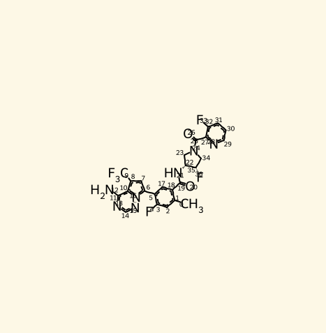 Cc1cc(F)c(-c2cc(C(F)(F)F)c3c(N)ncnn23)cc1C(=O)N[C@@H]1CN(C(=O)c2ncccc2F)C[C@@H]1F